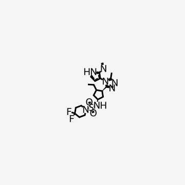 C=Nc1[nH]ccc1-n1c(C)nnc1[C@H]1C[C@@H](NS(=O)(=O)N2CCC(F)(F)CC2)CC1CC